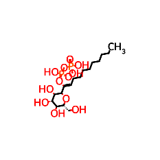 CCCCCCCCCC=C(OP(=O)(O)OP(=O)(O)O)C1O[C@H](CO)[C@@H](O)[C@H](O)[C@H]1O